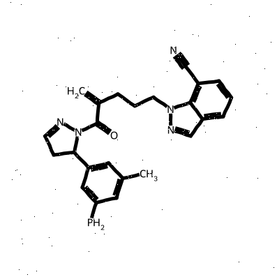 C=C(CCCn1ncc2cccc(C#N)c21)C(=O)N1N=CCC1c1cc(C)cc(P)c1